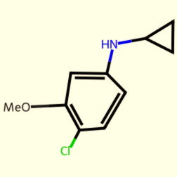 COc1cc(NC2CC2)ccc1Cl